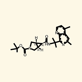 Cc1cc2c(C)ccnc2c(C(C)(C)NC(=O)[C@H]2[C@@H]3CN(C(=O)OC(C)(C)C)C[C@@H]32)n1